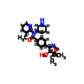 Cc1cccnc1N(C(=O)c1ccc(C2=NOC(C)(C)C2O)cc1)[C@@H]1CCCNC1